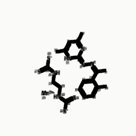 C/C(=N/N=c1\nc(C)cc(C)[nH]1)c1ccccc1C.S=C([S-])NCCNC(=S)[S-].[Mn+2]